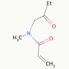 C=CC(=O)N(C)CC(=O)CC